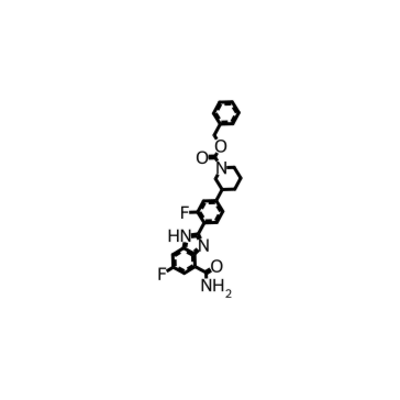 NC(=O)c1cc(F)cc2[nH]c(-c3ccc(C4CCCN(C(=O)OCc5ccccc5)C4)cc3F)nc12